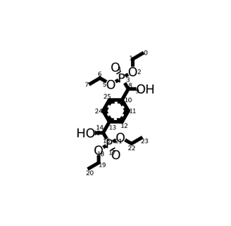 CCOP(=O)(OCC)C(O)c1ccc(C(O)P(=O)(OCC)OCC)cc1